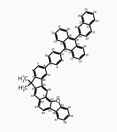 CC1(C)c2ccc(-c3ccc(-c4c5ccccc5c(-c5ccc6ccccc6c5)c5ccccc45)cc3)cc2-c2cc3c(ccc4c5ccccc5oc34)cc21